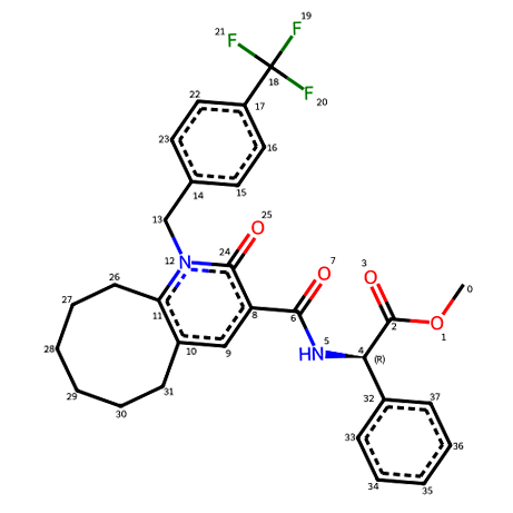 COC(=O)[C@H](NC(=O)c1cc2c(n(Cc3ccc(C(F)(F)F)cc3)c1=O)CCCCCC2)c1ccccc1